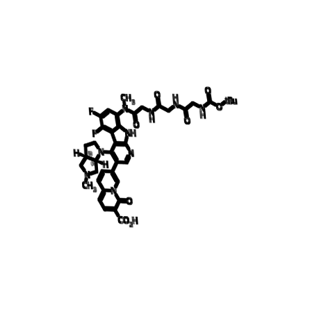 CN1C[C@@H]2CCN(c3c(-c4ccc5ccc(C(=O)O)c(=O)n5c4)cnc4[nH]c5c(N(C)C(=O)CNC(=O)CNC(=O)CNC(=O)OC(C)(C)C)cc(F)c(F)c5c34)[C@@H]2C1